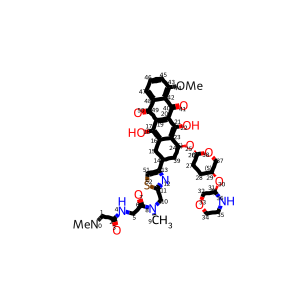 CNCC(=O)NCC(=O)N(C)Cc1nc(C2Cc3c(O)c4c(c(O)c3[C@@H](O[C@H]3CC[C@H](O[C@@H]5COCCN5)CO3)C2)C(=O)c2c(OC)cccc2C4=O)cs1